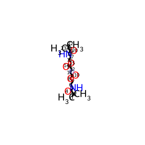 CC(C)C(=O)NCCOC(=O)/C=C/C(=O)OCCNC(=O)C(C)C